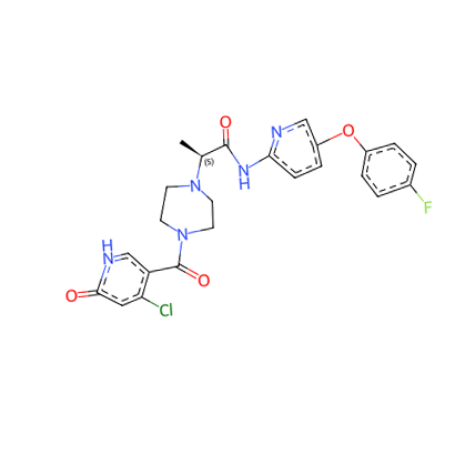 C[C@@H](C(=O)Nc1ccc(Oc2ccc(F)cc2)cn1)N1CCN(C(=O)c2c[nH]c(=O)cc2Cl)CC1